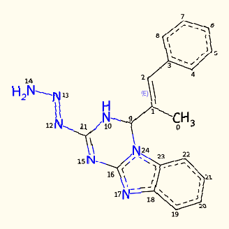 C/C(=C\c1ccccc1)C1NC(N=NN)=Nc2nc3ccccc3n21